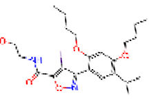 CCCCOc1cc(OCCCC)c(C(C)C)cc1-c1noc(C(=O)NCCO)c1I